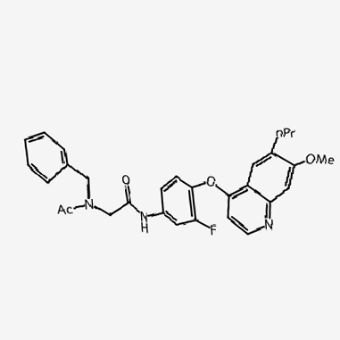 CCCc1cc2c(Oc3ccc(NC(=O)CN(Cc4ccccc4)C(C)=O)cc3F)ccnc2cc1OC